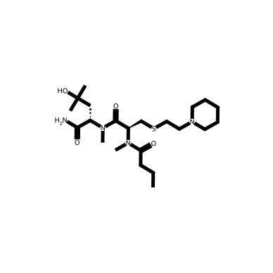 CCCC(=O)N(C)[C@H](CSCCN1CCCCC1)C(=O)N(C)[C@@H](CC(C)(C)O)C(N)=O